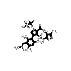 Cc1cc(C)c(-c2csc(C(N)=O)c2S(=O)(=O)Nc2onc(C)c2Cl)c(C)c1CN(C)C.O=S(=O)(O)C(F)(F)F